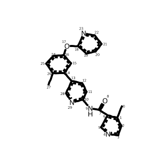 Cc1ccncc1C(=O)Nc1ccc(-c2cc(Oc3ccccn3)ccc2C)cn1